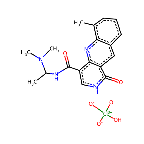 Cc1cccc2cc3c(=O)[nH]cc(C(=O)NC(C)N(C)C)c3nc12.[O-][Cl+3]([O-])([O-])O